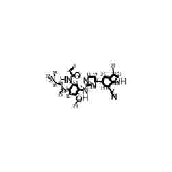 C=CC(=O)Nc1cc(Nc2nccc(-c3cc(C#N)c4[nH]cc(C)c4c3)n2)c(OC)cc1N(C)CCN(C)C